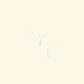 CCCNC(=O)C1CCCO1